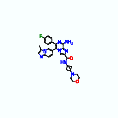 Cc1cnc2ccc(-c3c(-c4ccc(F)cc4)nc(N)c4nc(C(=O)NC56CC(N7CCOCC7)(C5)C6)cn34)cn12